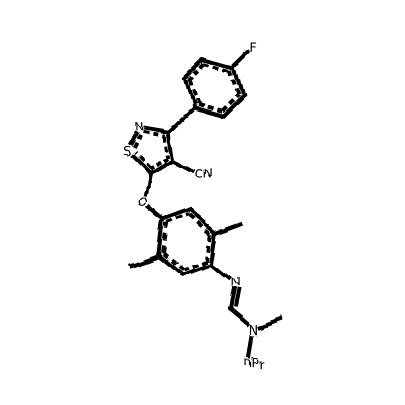 CCCN(C)C=Nc1cc(C)c(Oc2snc(-c3ccc(F)cc3)c2C#N)cc1C